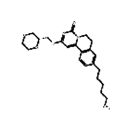 CCCCCCc1ccc2c(c1)CCn1c-2cc(OC[C@H]2COCCO2)nc1=O